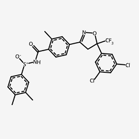 Cc1ccc([S+]([O-])NC(=O)c2ccc(C3=NOC(c4cc(Cl)cc(Cl)c4)(C(F)(F)F)C3)cc2C)cc1C